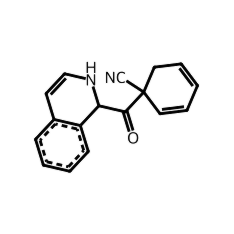 N#CC1(C(=O)C2NC=Cc3ccccc32)C=CC=CC1